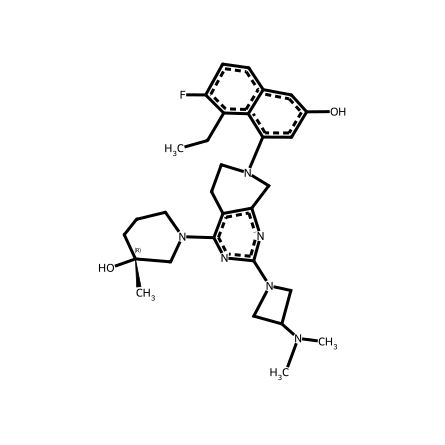 CCc1c(F)ccc2cc(O)cc(N3CCc4c(nc(N5CC(N(C)C)C5)nc4N4CCC[C@@](C)(O)C4)C3)c12